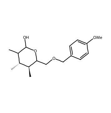 COc1ccc(COCC2OC(O)C(C)[C@@H](C)[C@@H]2C)cc1